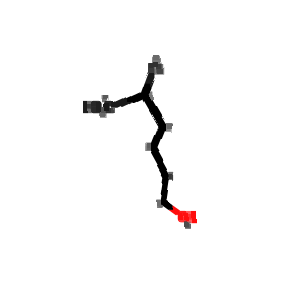 CCC(CCCCO)C(=O)O